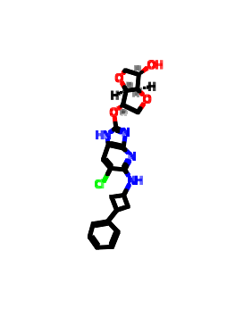 O[C@@H]1CO[C@H]2[C@@H]1OC[C@H]2Oc1nc2nc(NC3CC(c4ccccc4)C3)c(Cl)cc2[nH]1